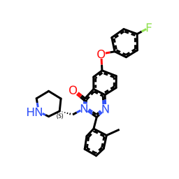 Cc1ccccc1-c1nc2ccc(Oc3ccc(F)cc3)cc2c(=O)n1C[C@H]1CCCNC1